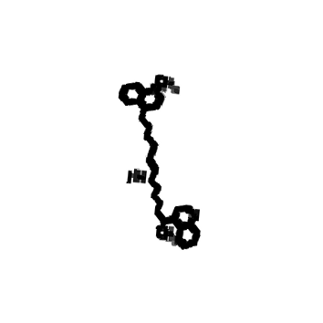 CC(CCCCCCCCCCCc1cc[n+](C)c2ccccc12)c1ccnc2ccccc12.I.[I-]